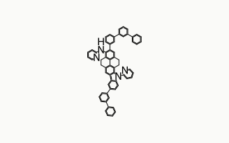 c1ccc(-c2cccc(-c3cccc(-c4cc5c6c(c4Nc4ccccn4)CCc4cc7c8cc(-c9cccc(-c%10ccccc%10)c9)ccc8n(-c8ccccn8)c7c(c4-6)CC5)c3)c2)cc1